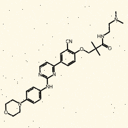 CN(C)CCNC(=O)C(C)(C)COc1ccc(-c2ccnc(Nc3ccc(N4CCOCC4)cc3)n2)cc1C#N